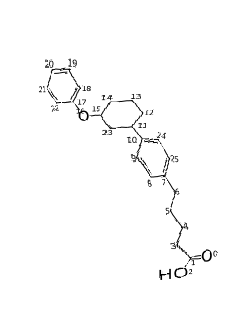 O=C(O)CCCCc1ccc(C2CCCC(Oc3ccccc3)C2)cc1